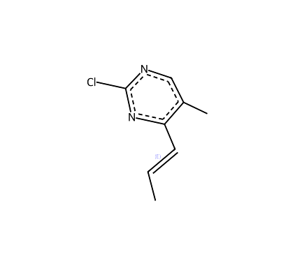 C/C=C/c1nc(Cl)ncc1C